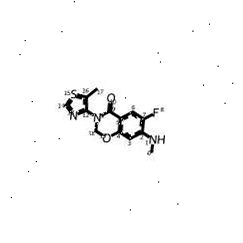 CNc1cc2c(cc1F)C(=O)N(c1ncsc1C)CO2